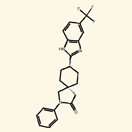 O=C1C[C@]2(CC[C@H](c3nc4cc(C(F)(F)F)ccc4[nH]3)CC2)CN1c1ccccc1